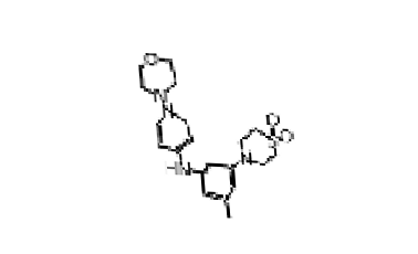 Cc1cc(NC2=CCN(N3CCOCC3)C=C2)cc(N2CCS(=O)(=O)CC2)c1